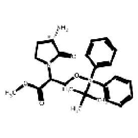 COC(=O)C(CO[Si](c1ccccc1)(c1ccccc1)C(C)(C)C)N1CC[C@H](N)C1=O